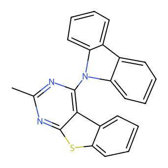 Cc1nc(-n2c3ccccc3c3ccccc32)c2c(n1)sc1ccccc12